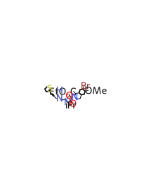 CCOC(=O)C1c2cc(Br)c(OC)cc2CCN1C(=O)C(=O)N(CCNCC#Cc1cccs1)C(C)C